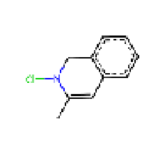 CC1=Cc2ccccc2CN1Cl